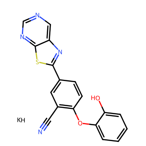 N#Cc1cc(-c2nc3cncnc3s2)ccc1Oc1ccccc1O.[KH]